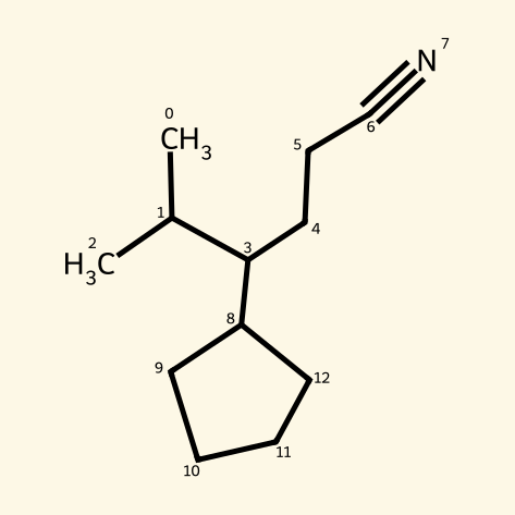 CC(C)C(CCC#N)C1CCCC1